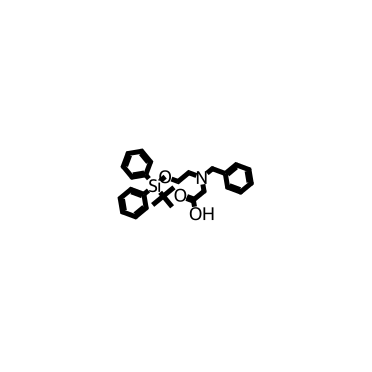 CC(C)(C)[Si](OCCN(CC(=O)O)Cc1ccccc1)(c1ccccc1)c1ccccc1